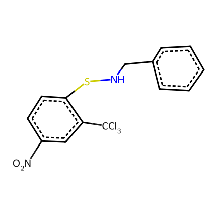 O=[N+]([O-])c1ccc(SNCc2ccccc2)c(C(Cl)(Cl)Cl)c1